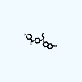 CCCN(C1CCN(C(=O)C2CCNCC2)CC1)[C@@H]1CCc2ccc(Br)cc2C1